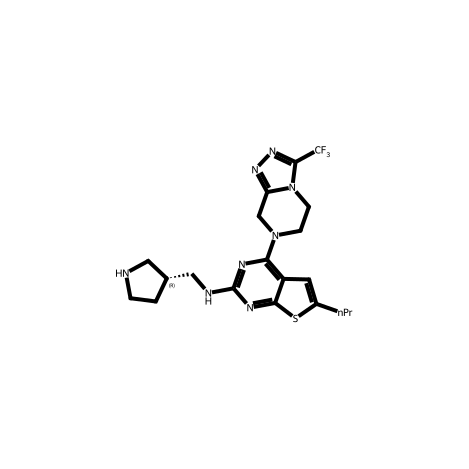 CCCc1cc2c(N3CCn4c(nnc4C(F)(F)F)C3)nc(NC[C@@H]3CCNC3)nc2s1